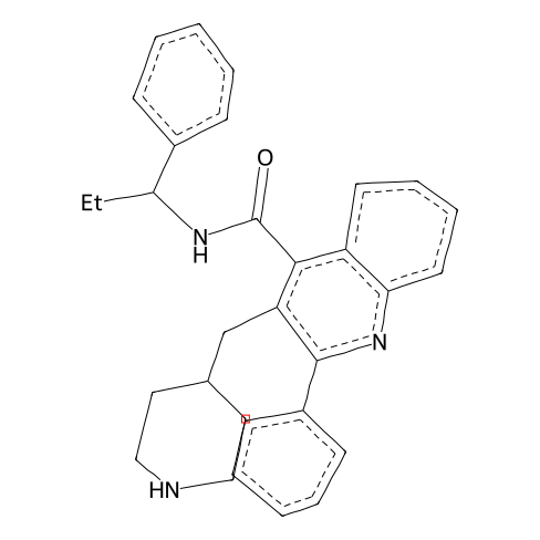 CCC(NC(=O)c1c(CC2CCNCC2)c(-c2ccccc2)nc2ccccc12)c1ccccc1